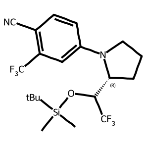 CC(C)(C)[Si](C)(C)OC([C@H]1CCCN1c1ccc(C#N)c(C(F)(F)F)c1)C(F)(F)F